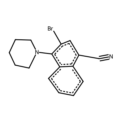 N#Cc1cc(Br)c(N2CCCCC2)c2ccccc12